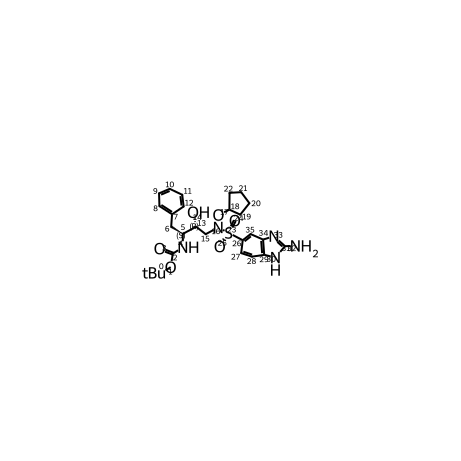 CC(C)(C)OC(=O)N[C@@H](Cc1ccccc1)[C@H](O)CN(OC1CCCC1)S(=O)(=O)c1ccc2[nH]c(N)nc2c1